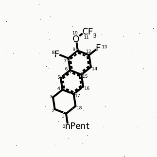 CCCCCC1CCc2cc3c(F)c(OC(F)(F)F)c(F)cc3cc2C1